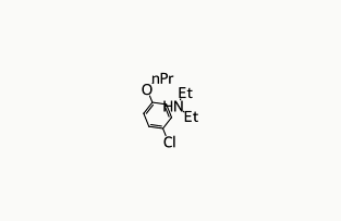 CCCOc1ccc(Cl)cc1.CCNCC